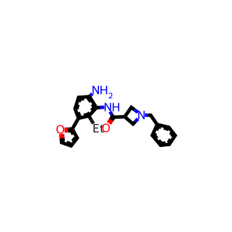 CCc1c(-c2ccco2)ccc(N)c1NC(=O)C1CN(Cc2ccccc2)C1